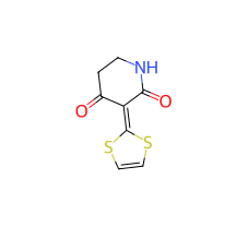 O=C1CCNC(=O)C1=C1SC=CS1